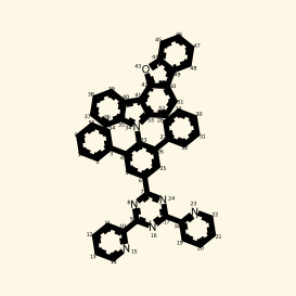 c1ccc(-c2cc(-c3nc(-c4ccccn4)nc(-c4ccccn4)n3)cc(-c3ccccc3)c2-n2c3ccccc3c3c4oc5ccccc5c4ccc32)cc1